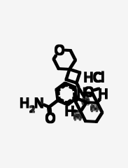 CO[C@@]1(c2cccc(C(N)=O)c2)[C@@H]2CCC[C@H]1CN(C1CC3(CCOCC3)C1)C2.Cl